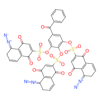 [N-]=[N+]=C1CC=CC2=C1C(=O)C=C(S(=O)(=O)Oc1cc(C(=O)c3ccccc3)cc(OS(=O)(=O)C3=CC(=O)C4=C(C=CCC4=[N+]=[N-])C3=O)c1OS(=O)(=O)C1=CC(=O)C3=C(C=CCC3=[N+]=[N-])C1=O)C2=O